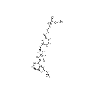 CC(C)(C)OC(=O)NCCCOc1cccc(CN2CC3(CCN(c4ncnc5sc(CC(F)(F)F)cc45)C3)C2)c1